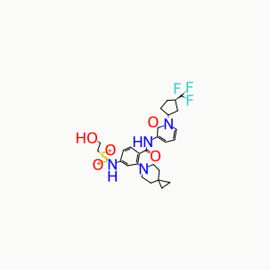 O=C(Nc1cccn([C@@H]2CC[C@@H](C(F)(F)F)C2)c1=O)c1ccc(NS(=O)(=O)CCO)cc1N1CCC2(CC1)CC2